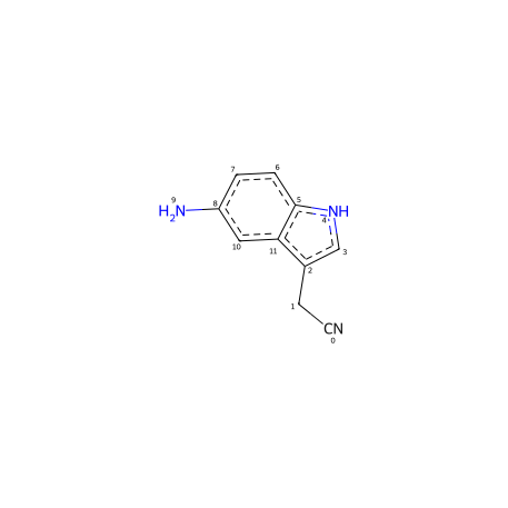 N#CCc1c[nH]c2ccc(N)cc12